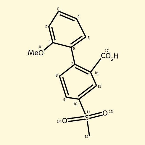 COc1ccccc1-c1ccc(S(C)(=O)=O)cc1C(=O)O